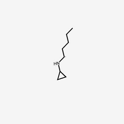 CCCC[CH]NC1CC1